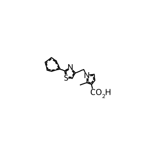 Cc1c(C(=O)O)ccn1Cc1csc(-c2ccccc2)n1